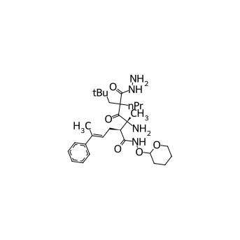 CCCC(CC(C)(C)C)(C(=O)NN)C(=O)[C@](C)(N)[C@H](C/C=C(\C)c1ccccc1)C(=O)NOC1CCCCO1